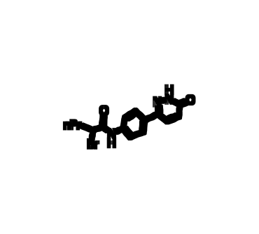 CCCC(Br)C(=O)Nc1ccc(-c2ccc(=O)[nH]n2)cc1